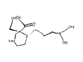 O=C(O)[C@@]1(CO)NCC[C@H]1CCCB(O)O